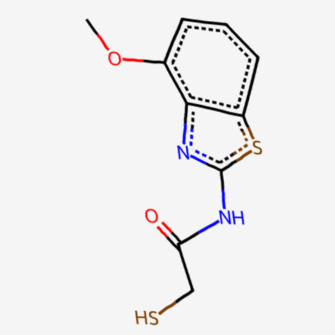 COc1cccc2sc(NC(=O)CS)nc12